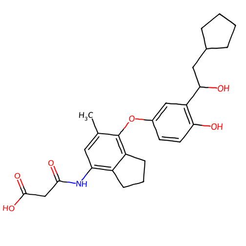 Cc1cc(NC(=O)CC(=O)O)c2c(c1Oc1ccc(O)c(C(O)CC3CCCC3)c1)CCC2